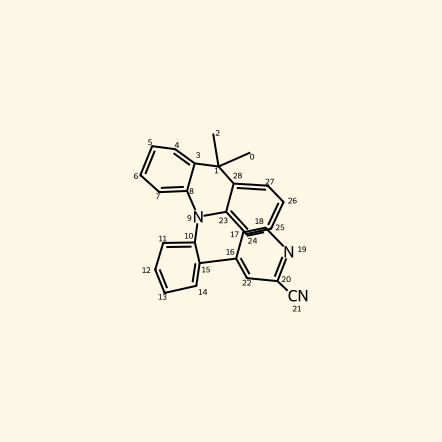 CC1(C)c2ccccc2N(c2ccccc2-c2ccnc(C#N)c2)c2ccccc21